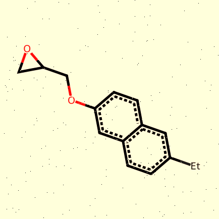 CCc1ccc2cc(OCC3CO3)ccc2c1